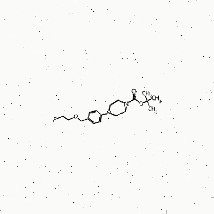 CC(C)(C)OC(=O)N1CCN(c2ccc(COCCF)cc2)CC1